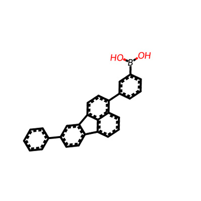 OB(O)c1cccc(-c2ccc3c4c(cccc24)-c2ccc(-c4ccccc4)cc2-3)c1